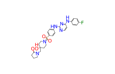 O=C1CCCN1CC1(O)CCN(S(=O)(=O)c2ccc(Nc3nccc(Nc4ccc(F)cc4)n3)cc2)CC1